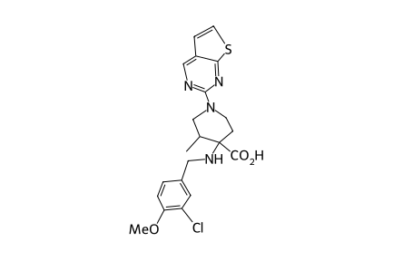 COc1ccc(CNC2(C(=O)O)CCN(c3ncc4ccsc4n3)CC2C)cc1Cl